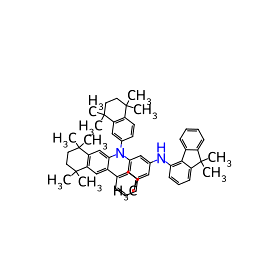 Cc1cc(Nc2cccc3c2-c2ccccc2C3(C)C)cc(N(c2ccc3c(c2)C(C)(C)CCC3(C)C)c2cc3c(cc2-c2ccccc2)C(C)(C)CCC3(C)C)c1